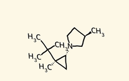 C[C@@H]1CCN([C@@H]2C[C@@]2(C)C(C)(C)C)C1